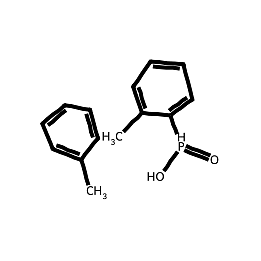 Cc1ccccc1.Cc1ccccc1[PH](=O)O